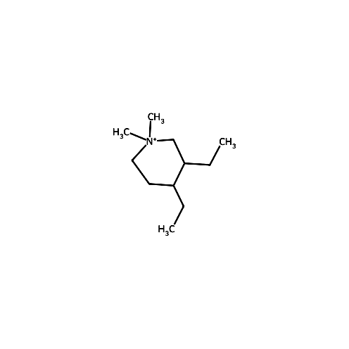 CCC1CC[N+](C)(C)CC1CC